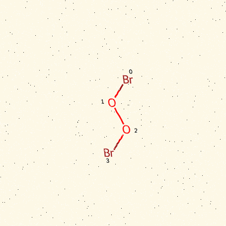 BrOOBr